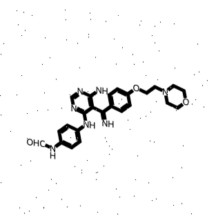 N=C(c1ccc(OCCN2CCOCC2)cc1)c1c(N)ncnc1Nc1ccc(NC=O)cc1